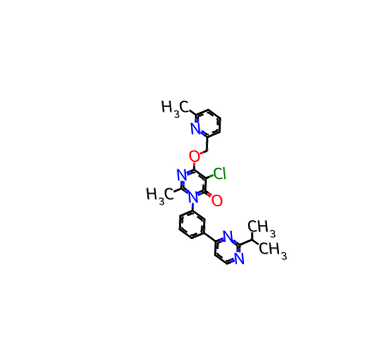 Cc1cccc(COc2nc(C)n(-c3cccc(-c4ccnc(C(C)C)n4)c3)c(=O)c2Cl)n1